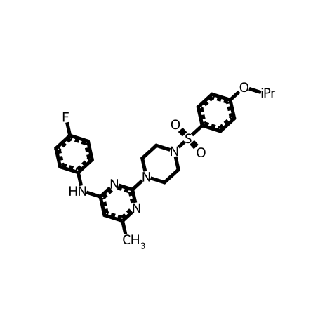 Cc1cc(Nc2ccc(F)cc2)nc(N2CCN(S(=O)(=O)c3ccc(OC(C)C)cc3)CC2)n1